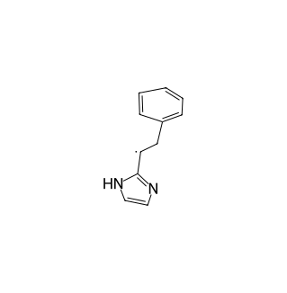 [CH](Cc1ccccc1)c1ncc[nH]1